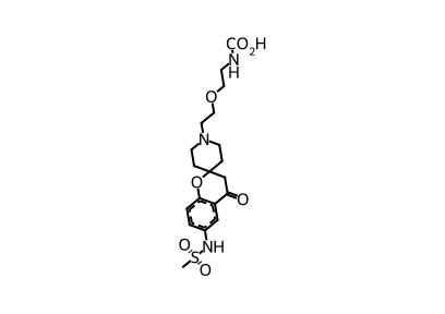 CS(=O)(=O)Nc1ccc2c(c1)C(=O)CC1(CCN(CCOCCNC(=O)O)CC1)O2